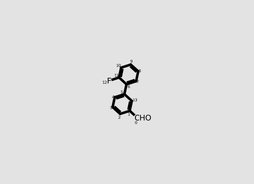 O=Cc1cccc(-c2ccccc2F)c1